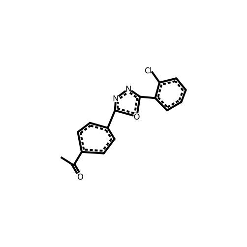 CC(=O)c1ccc(-c2nnc(-c3ccccc3Cl)o2)cc1